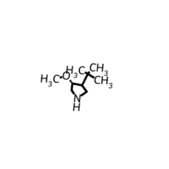 CO[C@@H]1CNCC1C(C)(C)C